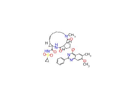 COc1cc2nc(-c3ccccc3)nc(O[C@@H]3C[C@H]4C(=O)N[C@]5(C(=O)NS(=O)(=O)C6CC6)C[C@H]5/C=C\CCCCN(C)C(=O)[C@@H]4C3)c2cc1C